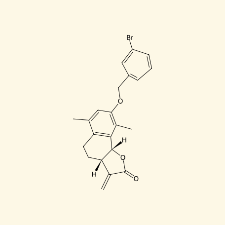 C=C1C(=O)O[C@H]2c3c(C)c(OCc4cccc(Br)c4)cc(C)c3CC[C@@H]12